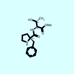 COC(=O)[C@@H](NC(=O)[C@@]1(Cc2ccccc2)CCCN1)[C@@H](C)O